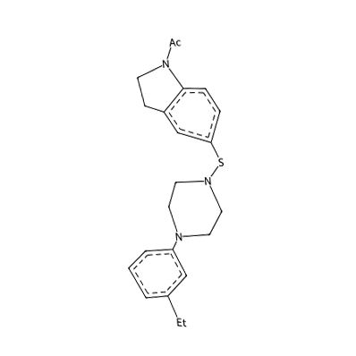 CCc1cccc(N2CCN(Sc3ccc4c(c3)CCN4C(C)=O)CC2)c1